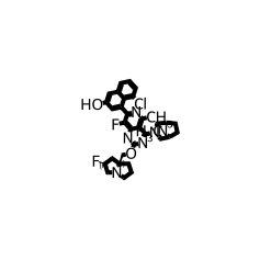 Cc1nc(-c2cc(O)cc3cccc(Cl)c23)c(F)c2nc(OC[C@@]34CCCN3C[C@H](F)C4)nc(N3CC4CCC(C3)N4C)c12